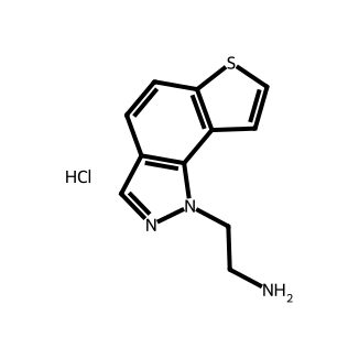 Cl.NCCn1ncc2ccc3sccc3c21